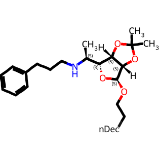 CCCCCCCCCCCCO[C@H]1O[C@H]([C@H](C)NCCCc2ccccc2)[C@@H]2OC(C)(C)O[C@H]12